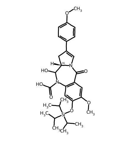 COc1ccc(C2=CN3C(=O)c4cc(OC)c(O[Si](C(C)C)(C(C)C)C(C)C)cc4N(C(=O)O)C(O)[C@@H]3C2)cc1